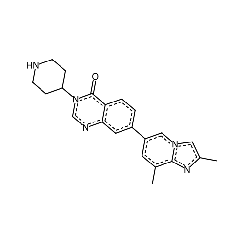 Cc1cn2cc(-c3ccc4c(=O)n(C5CCNCC5)cnc4c3)cc(C)c2n1